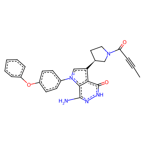 CC#CC(=O)N1CC[C@H](c2cn(-c3ccc(Oc4ccccc4)cc3)c3c(N)n[nH]c(=O)c23)C1